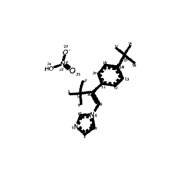 CC(C)(C)C(=Cn1ccnc1)c1ccc(C(C)(C)C)cc1.O=[N+]([O-])O